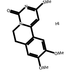 COc1cc2c(cc1OC)-c1cc(SC)nc(=O)n1CC2.I